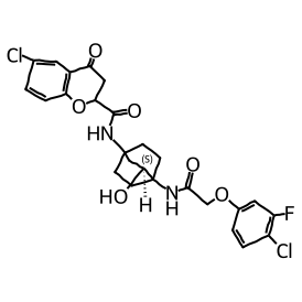 O=C(COc1ccc(Cl)c(F)c1)NC12CCC(NC(=O)C3CC(=O)c4cc(Cl)ccc4O3)(CC1)C[C@@H]2O